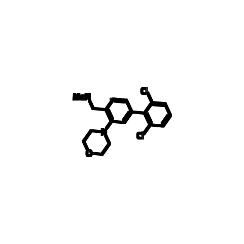 CNCc1[c]cc(-c2c(Cl)cccc2Cl)cc1N1CCOCC1